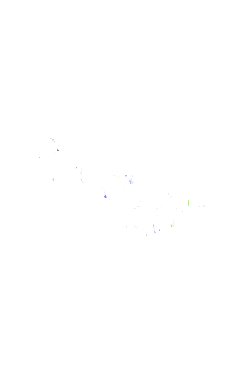 C/C(=N\[S+]([O-])C(C)(C)C)c1nc(-c2ccnc(C(F)(F)F)c2)ns1